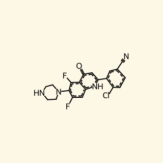 N#Cc1ccc(Cl)c(-c2cc(=O)c3c(F)c(N4CCNCC4)c(F)cc3[nH]2)c1